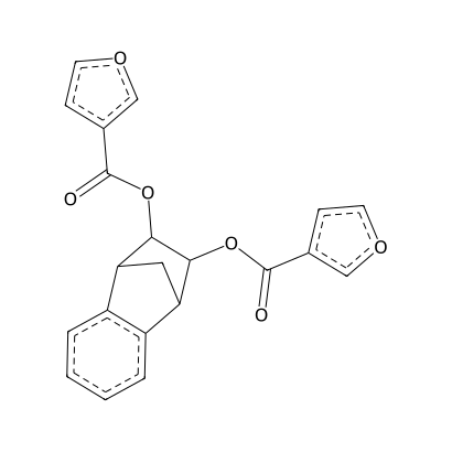 O=C(OC1C2CC(c3ccccc32)C1OC(=O)c1ccoc1)c1ccoc1